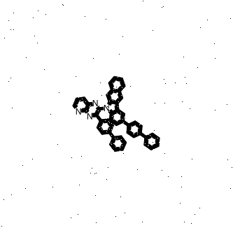 c1ccc(-c2ccc(-c3ccc4c(c3)c3cc5ccccc5cc3n4-c3nc4cccnc4nc3-c3ccc(-c4ccccc4)cc3)cc2)cc1